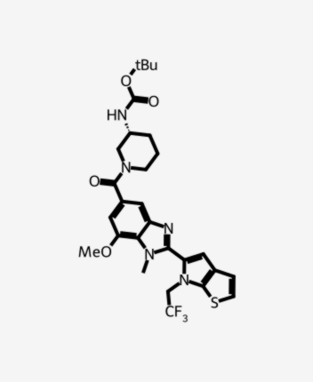 COc1cc(C(=O)N2CCC[C@@H](NC(=O)OC(C)(C)C)C2)cc2nc(-c3cc4ccsc4n3CC(F)(F)F)n(C)c12